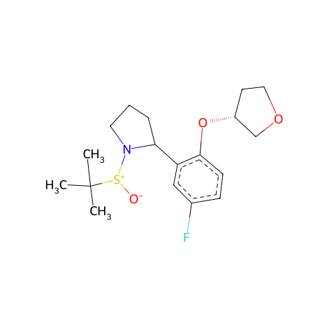 CC(C)(C)[S+]([O-])N1CCCC1c1cc(F)ccc1O[C@@H]1CCOC1